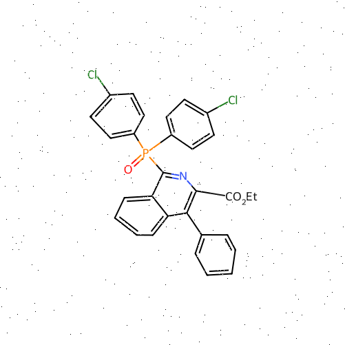 CCOC(=O)c1nc(P(=O)(c2ccc(Cl)cc2)c2ccc(Cl)cc2)c2ccccc2c1-c1ccccc1